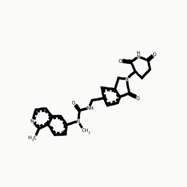 Cc1nccc2cc(N(C)C(=O)NCc3ccc4c(c3)CN(C3CCC(=O)NC3=O)C4=O)ccc12